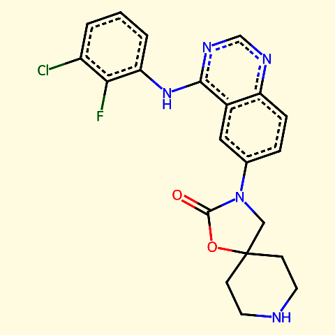 O=C1OC2(CCNCC2)CN1c1ccc2ncnc(Nc3cccc(Cl)c3F)c2c1